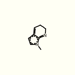 Cn1ccc2c1=NCCC=2